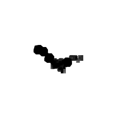 COc1cc(C(=O)O)ccc1NS(=O)(=O)c1csc(-c2ccc(-c3ccc4ccccc4c3)cc2)n1